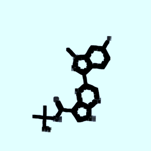 CCCC(C)(C)NC(=O)c1c[nH]c2ncc(-c3nn(C)c4cc(F)ccc34)nc12